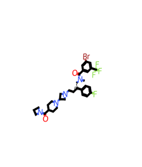 CN(C[C@@H](CCN1CC(N2CCC(C(=O)N3CCC3)CC2)C1)c1ccc(F)cc1)C(=O)c1cc(Br)cc(C(F)(F)F)c1